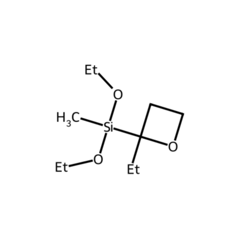 CCO[Si](C)(OCC)C1(CC)CCO1